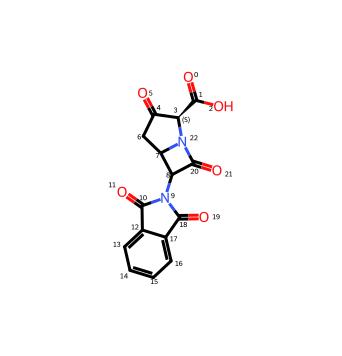 O=C(O)[C@@H]1C(=O)CC2C(N3C(=O)c4ccccc4C3=O)C(=O)N21